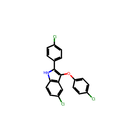 Clc1ccc(Oc2c(-c3ccc(Cl)cc3)[nH]c3ccc(Cl)cc23)cc1